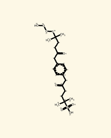 CC(C)(CCC(=O)Cc1ccc(CC(=O)CCC(C)(C)S(=O)(=O)O)cc1)SOOO